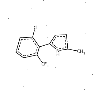 Cc1ccc(-c2c(Cl)cccc2C(F)(F)F)[nH]1